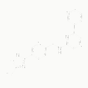 FC(F)(F)c1nc(-c2ccc(CNc3cncc(-c4cccnc4)n3)nc2)no1